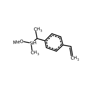 C=Cc1ccc(C(C)[SiH](C)OC)cc1